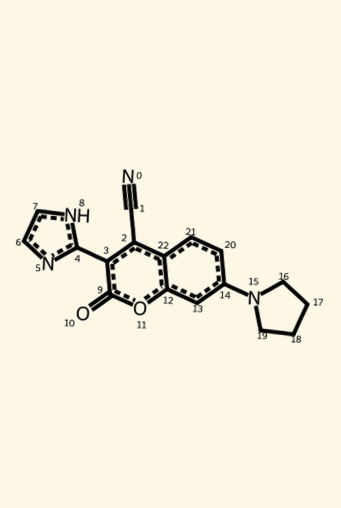 N#Cc1c(-c2ncc[nH]2)c(=O)oc2cc(N3CCCC3)ccc12